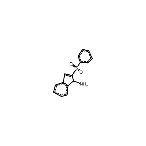 NC1C(S(=O)(=O)c2ccccc2)=Cc2ccccc21